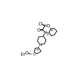 CCOC[C@H]1CC[C@@H](N2CCC(N(C(=O)CCl)[C@@H]3CCCC[C@H]3O)CC2)C1